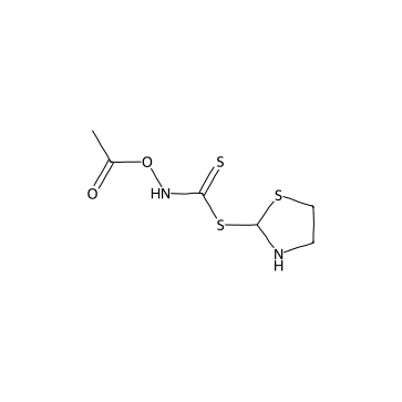 CC(=O)ONC(=S)SC1NCCS1